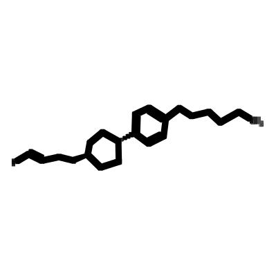 CCCCCCc1ccc([C@H]2CC[C@H](CCC=CF)CC2)cc1